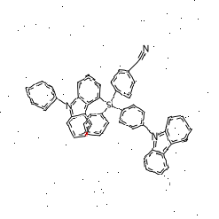 N#Cc1ccc([Si](c2ccccc2)(c2ccc(-n3c4ccccc4c4ccccc43)cc2)c2cccc3c2c2ccccc2n3-c2ccccc2)cc1